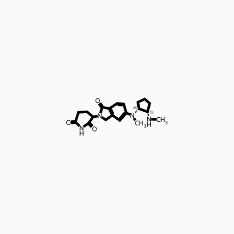 CN[C@H]1CCC[C@H]1N(C)c1ccc2c(c1)CN(C1CCC(=O)NC1=O)C2=O